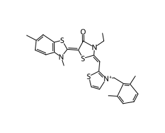 CCn1c(=O)/c(=C2\Sc3cc(C)ccc3N2C)s/c1=C\c1scc[n+]1Cc1c(C)cccc1C